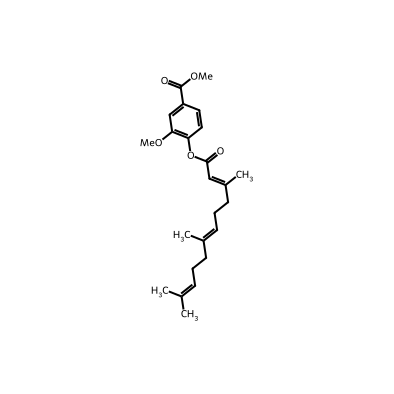 COC(=O)c1ccc(OC(=O)/C=C(\C)CC/C=C(\C)CCC=C(C)C)c(OC)c1